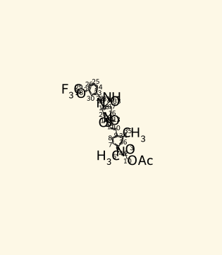 CC(=O)OCC(=O)N(C)c1ccc(/C=C/S(=O)(=O)N2CCC3(CC2)N=C(c2cccc(OC(F)(F)F)c2)NC3=O)c(C)c1